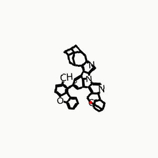 Cc1ccc2oc3ccccc3c2c1-c1cc2c3c4c(ncc3n3c5cnc6c(c5c(c1)c23)C1CC2CC3CC6CC32C1)C1CC2CC(C1)CC4C2